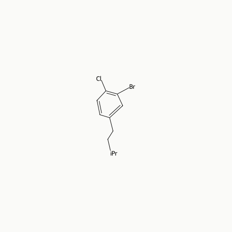 CC(C)CCc1ccc(Cl)c(Br)c1